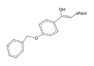 CCCCCC=C(O)c1ccc(OCc2ccccc2)cc1